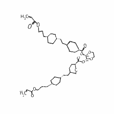 C=CC(=O)OCCC[C@H]1CC[C@H](CCC2CCC(C(=O)O[C@H]3OCCO[C@@H]3OC(=O)C3CCC(CC[C@H]4CC[C@H](CCCOC(=O)C=C)CC4)CC3)CC2)CC1